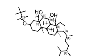 CC[C@H](CC[C@@H](C)[C@H]1CC[C@H]2[C@@H]3[C@@H](O)[C@H](O)[C@H]4CC(O[Si](C)(C)C(C)(C)C)CC[C@]4(C)[C@H]3CC[C@]12C)C(C)C